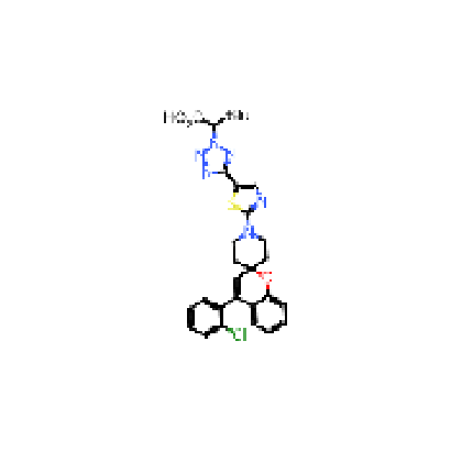 CC(C)(C)C(C(=O)O)n1nnc(-c2cnc(N3CCC4(C=C(c5ccccc5Cl)c5ccccc5O4)CC3)s2)n1